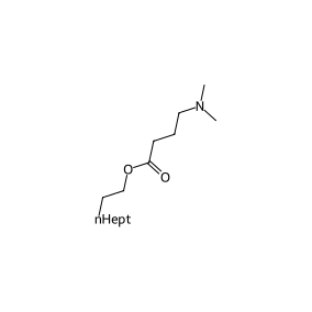 CCCCCCCCCOC(=O)CCCN(C)C